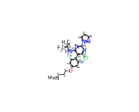 CNCCCOc1cc(F)c(-c2c(Cl)nc(-n3cccn3)nc2NC(C)C(F)(F)F)c(F)c1